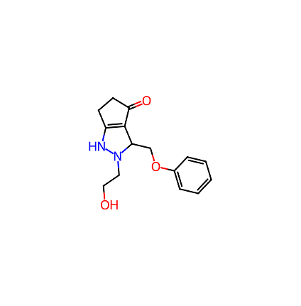 O=C1CCC2=C1C(COc1ccccc1)N(CCO)N2